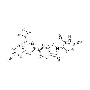 O=C1CCC(N2Cc3cc(C(=O)N[C@H](c4ccc(F)cc4)C4CCC4)ccc3C2=O)C(=O)N1